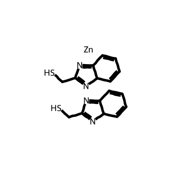 SCC1=NC2C=CC=CC2=N1.SCC1=NC2C=CC=CC2=N1.[Zn]